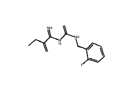 C=C(NCc1ccccc1F)NC(=N)C(=C)CC